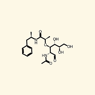 CC(=O)N[C@@H](C=O)[C@@H](O[C@H](C)C(=O)N[C@H](C)Cc1ccccc1)[C@H](O)[C@H](O)CO